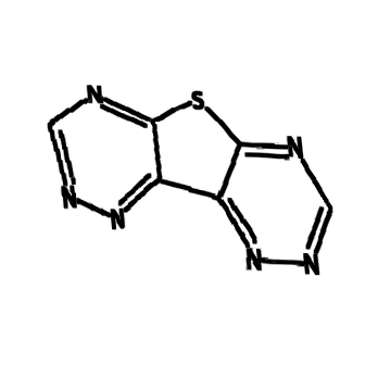 c1nnc2c(n1)sc1ncnnc12